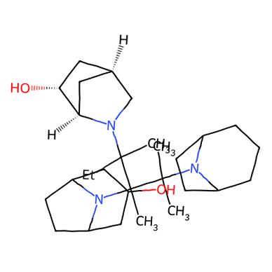 CCC(C)(N1C[C@@H]2C[C@@H](O)[C@H]1C2)C(C)(N1C2CCC1CC(O)C2)C(C)(C)N1C2CCCC1CC2